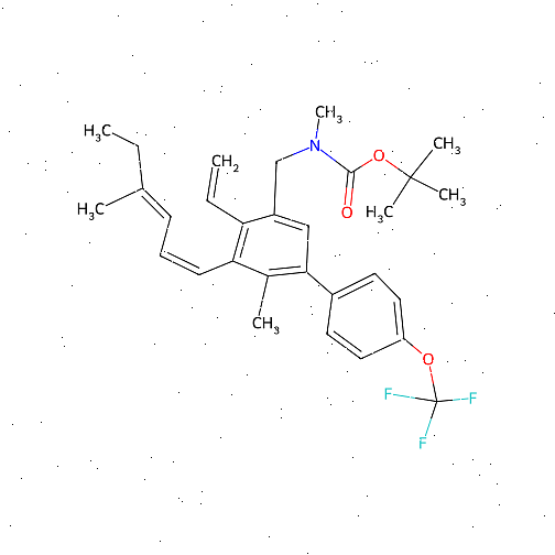 C=Cc1c(CN(C)C(=O)OC(C)(C)C)cc(-c2ccc(OC(F)(F)F)cc2)c(C)c1/C=C\C=C(/C)CC